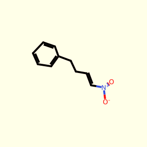 O=[N+]([O-])C=CCCc1ccccc1